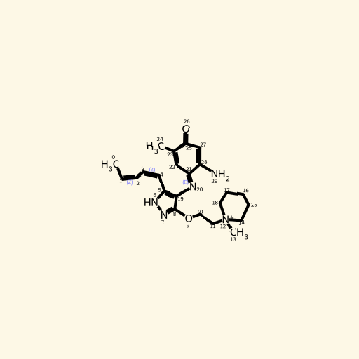 C/C=C\C=C/c1[nH]nc(OCC[N+]2(C)CCCCC2)c1/N=C1\C=C(C)C(=O)C=C1N